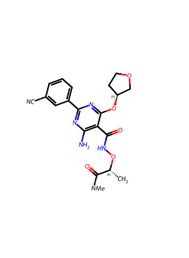 CNC(=O)[C@@H](C)ONC(=O)c1c(N)nc(-c2cccc(C#N)c2)nc1O[C@H]1CCOC1